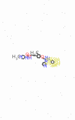 Cc1cc(OCc2nnc(SC3(S)C(S)(S)C(S)(S)C(S)(S)C3(S)S)n2-c2cccnc2)ccc1C#CCOC(=O)NC1CCN(C)CC1